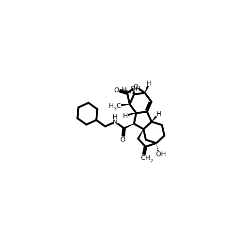 C=C1C[C@]23C[C@@]1(O)CC[C@H]2C1=C[C@H]2OC(=O)[C@@](C)([C@H]1[C@@H]3C(=O)NCC1CCCCC1)[C@H]2O